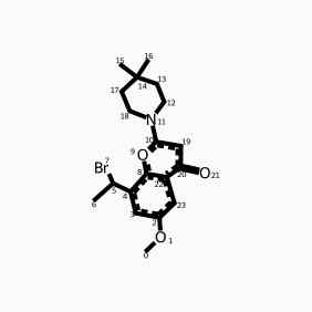 COc1cc(C(C)Br)c2oc(N3CCC(C)(C)CC3)cc(=O)c2c1